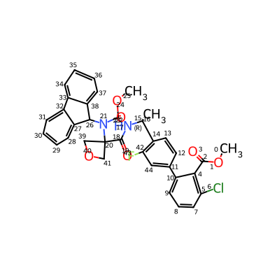 COC(=O)c1c(Cl)cccc1-c1ccc([C@@H](C)NC(=O)C2(N(C(=O)OC)C3c4ccccc4-c4ccccc43)COC2)c(F)c1